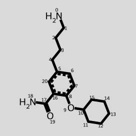 NCCCCc1ccc(OC2CCCCC2)c(C(N)=O)c1